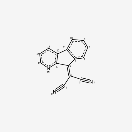 N#CC(C#N)=C1c2ccccc2-c2cccnc21